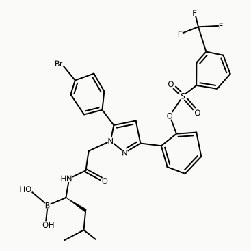 CC(C)C[C@H](NC(=O)Cn1nc(-c2ccccc2OS(=O)(=O)c2cccc(C(F)(F)F)c2)cc1-c1ccc(Br)cc1)B(O)O